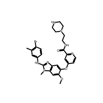 COc1cc2c(cc1Oc1ccnc(C(=O)NCCN3CCNCC3)c1)nc(Nc1ccc(Br)c(C)c1)n2C